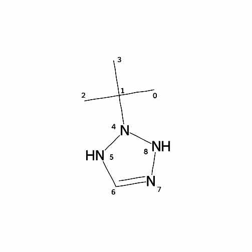 CC(C)(C)N1NC=NN1